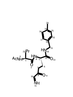 CC(=O)N[C@H](C(=O)N[C@@H](CCC(=O)C=N)C(=O)NCc1ccc(C)cc1)C(C)C